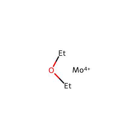 CCOCC.[Mo+4]